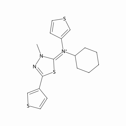 Cn1nc(-c2ccsc2)sc1=[N+](c1ccsc1)C1CCCCC1